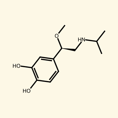 CO[C@@H](CNC(C)C)c1ccc(O)c(O)c1